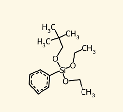 CCO[Si](OCC)(OCC(C)(C)C)c1ccccc1